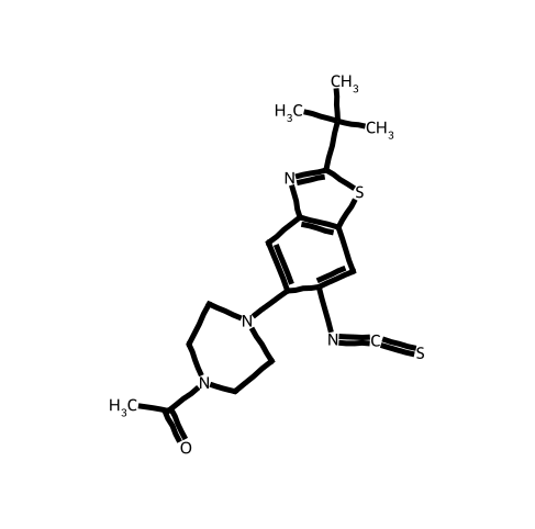 CC(=O)N1CCN(c2cc3nc(C(C)(C)C)sc3cc2N=C=S)CC1